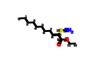 CCCCCCCCC=C(SN)C(=O)OCC